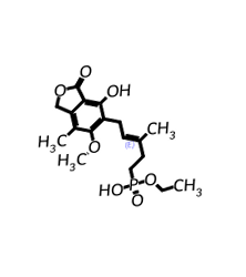 CCOP(=O)(O)CC/C(C)=C/Cc1c(O)c2c(c(C)c1OC)COC2=O